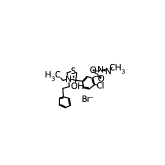 CC[N+]1(CCc2ccccc2)CSCC1(O)c1ccc(Cl)c(S(=O)(=O)N=NC)c1.[Br-]